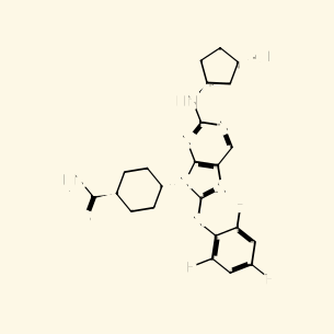 NC(=O)[C@H]1CC[C@H](n2c(Nc3c(F)cc(F)cc3F)nc3cnc(N[C@H]4CC[C@H](O)C4)nc32)CC1